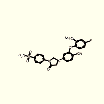 COc1cc(F)ccc1Oc1cc([C@H]2CC(=O)N(c3ccc(S(N)(=O)=O)cc3)C2)ccc1C#N